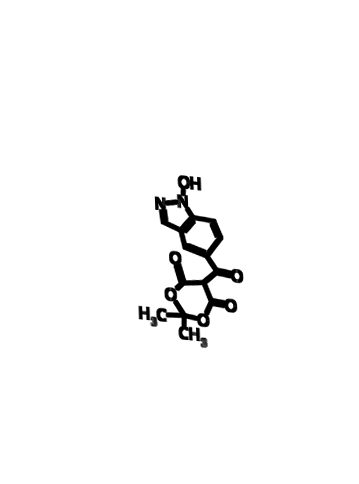 CC1(C)OC(=O)C(C(=O)c2ccc3c(cnn3O)c2)C(=O)O1